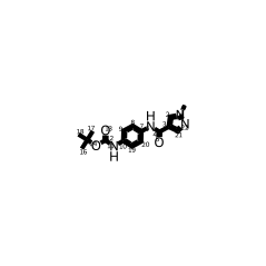 Cn1cc(C(=O)Nc2ccc(NC(=O)OC(C)(C)C)cc2)cn1